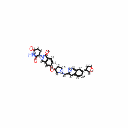 O=C1CCC(N2Cc3cc(O[C@H]4CCN(Cc5cc6ccc([C@H]7CCOC7)cc6cn5)C4)ccc3C2=O)C(=O)N1